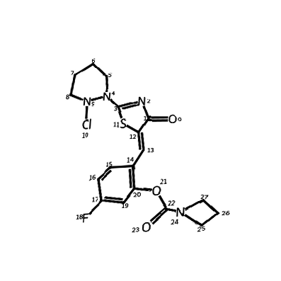 O=C1N=C(N2CCCCN2Cl)S/C1=C\c1ccc(F)cc1OC(=O)N1CCC1